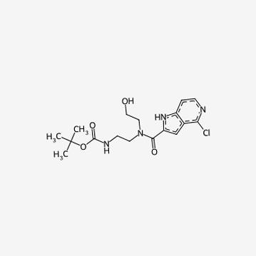 CC(C)(C)OC(=O)NCCN(CCO)C(=O)c1cc2c(Cl)nccc2[nH]1